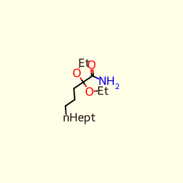 CCCCCCCCCCC(OCC)(OCC)C(N)=O